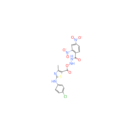 Cc1nc(Nc2ccc(Cl)cc2)sc1C(=O)ONNC(=O)c1ccc([N+](=O)[O-])cc1[N+](=O)[O-]